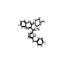 CN1CCN(c2nc3ccccc3nc2C(C#N)c2nnc(Cc3ccccc3)o2)CC1